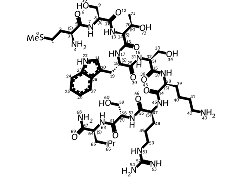 CSCC[C@H](N)C(=O)N[C@@H](CO)C(=O)N[C@H](C(=O)N[C@@H](Cc1c[nH]c2ccccc12)C(=O)N[C@@H](CO)C(=O)N[C@@H](CCCCN)C(=O)N[C@@H](CCCNC(=N)N)C(=O)N[C@@H](CO)C(=O)N[C@@H](CC(C)C)C(N)=O)[C@@H](C)O